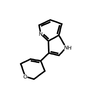 C1=C(c2c[nH]c3cccnc23)CCOC1